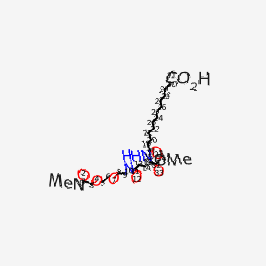 CNC(=O)COCCOCCNC(=O)CC[C@H](NC(=O)CCCCCCCCCCCCC(=O)O)C(=O)OC